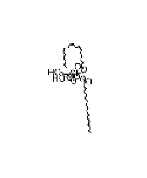 CCCCC/C=C\C/C=C\C/C=C\CCCCC(=O)O[C@H](COC(=O)CCCCCCCCCCCCCCCC)COP(=O)(O)OC[C@@H](O)CO